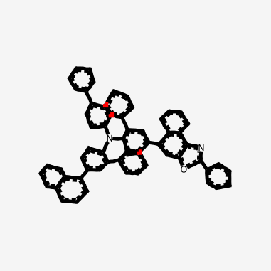 c1ccc(-c2ccc(N(c3ccc(-c4cccc5ccccc45)cc3-c3ccccc3)c3ccc(-c4cc5oc(-c6ccccc6)nc5c5ccccc45)cc3-c3ccccc3)cc2)cc1